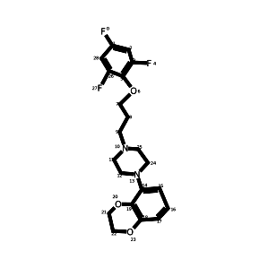 Fc1cc(F)c(OCCCN2CCN(c3cccc4c3OCCO4)CC2)c(F)c1